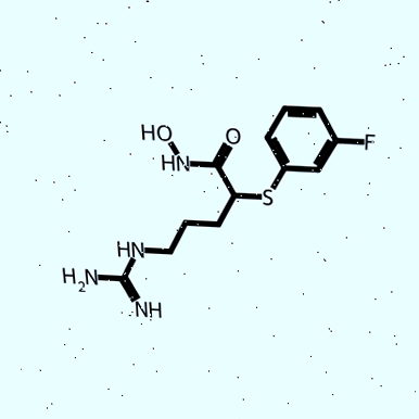 N=C(N)NCCCC(Sc1cccc(F)c1)C(=O)NO